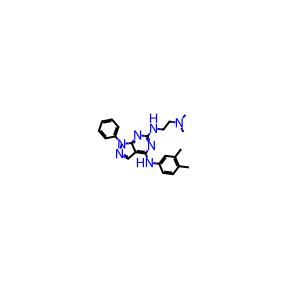 Cc1ccc(Nc2nc(NCCN(C)C)nc3c2cnn3-c2ccccc2)cc1C